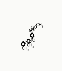 CCOC(=O)C[S+]([O-])c1ccc(C(=O)N2CCN(c3cccc(C)c3)[C@@H](C)C2)cc1